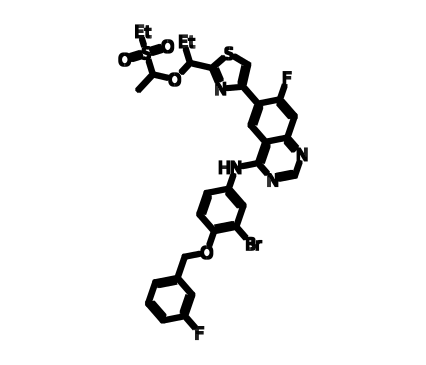 CCC(OC(C)S(=O)(=O)CC)c1nc(-c2cc3c(Nc4ccc(OCc5cccc(F)c5)c(Br)c4)ncnc3cc2F)cs1